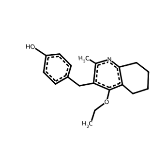 CCOc1c(Cc2ccc(O)cc2)c(C)nc2c1CCCC2